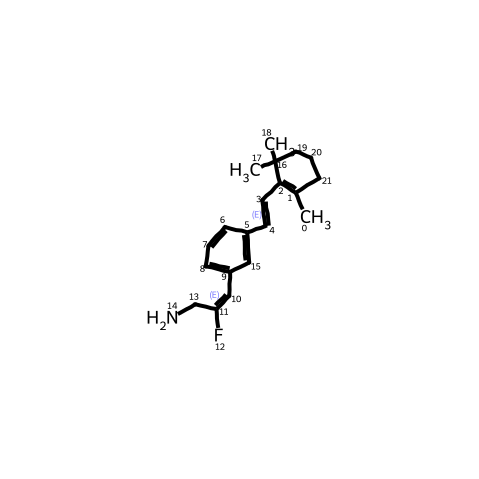 CC1=C(/C=C/c2cccc(/C=C(/F)CN)c2)C(C)(C)CCC1